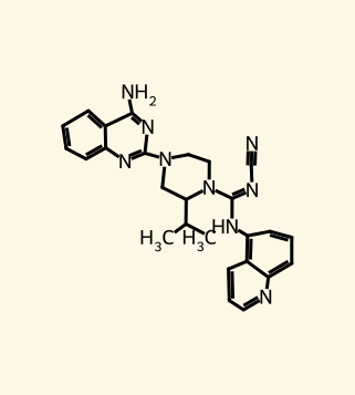 CC(C)C1CN(c2nc(N)c3ccccc3n2)CCN1/C(=N\C#N)Nc1cccc2ncccc12